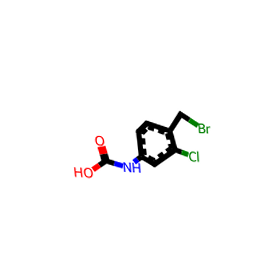 O=C(O)Nc1ccc(CBr)c(Cl)c1